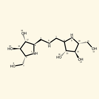 OC[C@H]1N[C@H](CNCC2N[C@H](CO)[C@@H](O)[C@@H]2O)[C@@H](O)[C@@H]1O